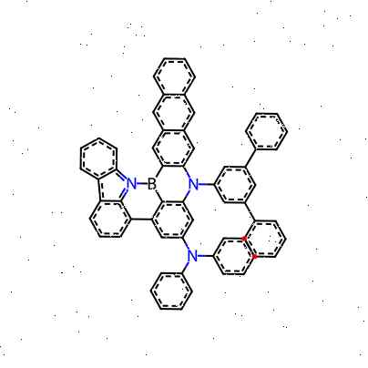 c1ccc(-c2cc(-c3ccccc3)cc(N3c4cc5cc6ccccc6cc5cc4B4c5c(cc(N(c6ccccc6)c6ccccc6)cc53)-c3cccc5c6ccccc6n4c35)c2)cc1